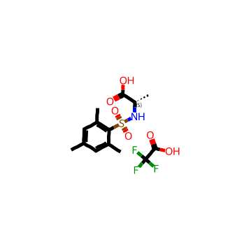 Cc1cc(C)c(S(=O)(=O)N[C@@H](C)C(=O)O)c(C)c1.O=C(O)C(F)(F)F